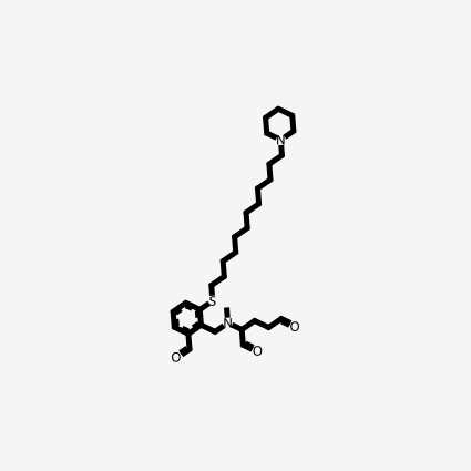 CN(Cc1c(C=O)cccc1SCCCCCCCCCCCCN1CCCCC1)C(C=O)CCC=O